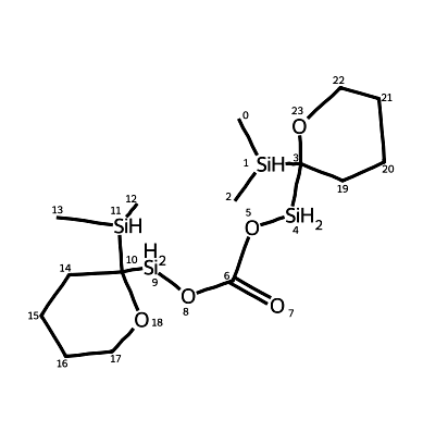 C[SiH](C)C1([SiH2]OC(=O)O[SiH2]C2([SiH](C)C)CCCCO2)CCCCO1